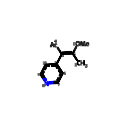 CO/C(C)=C(\C(C)=O)c1ccncc1